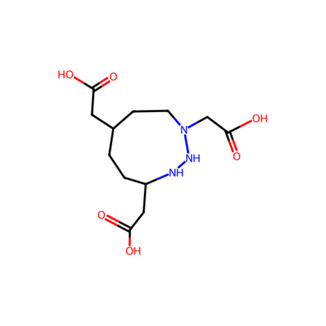 O=C(O)CC1CCC(CC(=O)O)NNN(CC(=O)O)CC1